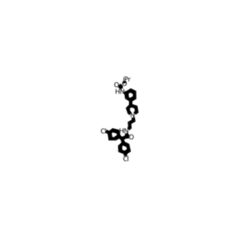 CC(C)OC(=O)Nc1cccc(C2CCN(CCCNC(=O)C(c3ccc(Cl)cc3)c3ccc(Cl)cc3)CC2)c1